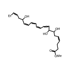 CC/C=C\CC(O)\C=C/C=C\C=C/C=C\C(O)C(O)C/C=C\CCC(=O)OC